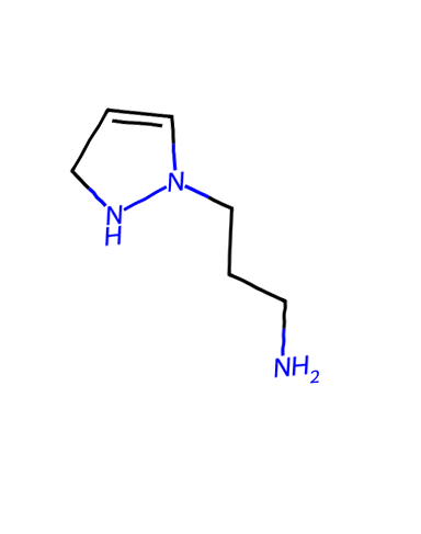 NCCCN1C=CCN1